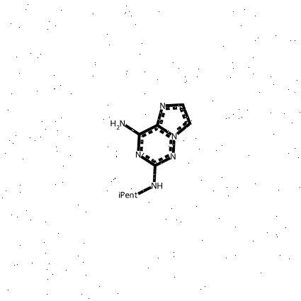 CCCC(C)Nc1nc(N)c2nccn2n1